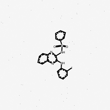 O=S(=O)(Nc1nc2ccccc2nc1Nc1ccccc1I)c1ccccc1